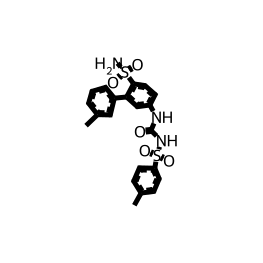 Cc1ccc(S(=O)(=O)NC(=O)Nc2ccc(S(N)(=O)=O)c(-c3cccc(C)c3)c2)cc1